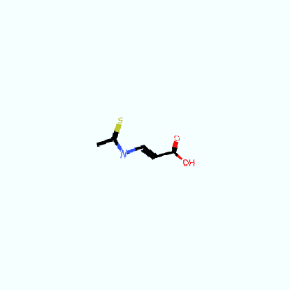 CC(=S)[N]C=CC(=O)O